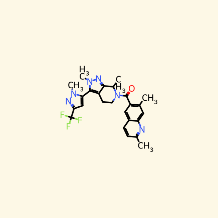 Cc1ccc2cc(C(=O)N3CCc4c(nn(C)c4-c4cc(C(F)(F)F)nn4C)C3C)c(C)cc2n1